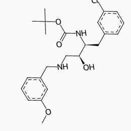 COc1cccc(CNC[C@H](O)[C@H](Cc2cccc(Cl)c2)NC(=O)OC(C)(C)C)c1